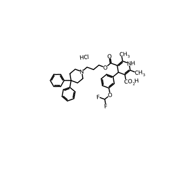 CC1=C(C(=O)O)C(c2cccc(OC(F)F)c2)C(C(=O)OCCCN2CCC(c3ccccc3)(c3ccccc3)CC2)=C(C)N1.Cl